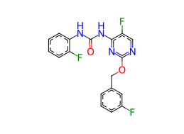 O=C(Nc1ccccc1F)Nc1nc(OCc2cccc(F)c2)ncc1F